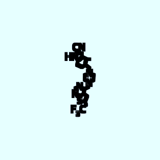 Cc1c(CN2CCN(Cc3ncnc4sc(CC(F)(F)F)cc34)CC2)ccc2[nH]c(C#N)cc12